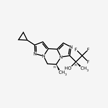 C[C@H]1Cn2nc(C3CC3)cc2-c2cnc([C@@](C)(O)C(F)(F)F)n21